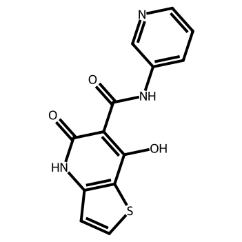 O=C(Nc1cccnc1)c1c(O)c2sccc2[nH]c1=O